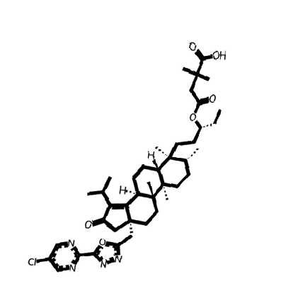 CC[C@H](CC[C@@]1(C)[C@H](C)CC[C@]2(C)[C@@H]1CC[C@@H]1C3=C(C(C)C)C(=O)C[C@]3(Cc3nnc(-c4ncc(Cl)cn4)o3)CC[C@]12C)OC(=O)CC(C)(C)C(=O)O